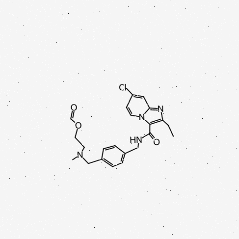 CCc1nc2cc(Cl)ccn2c1C(=O)NCc1ccc(CN(C)CCOC=O)cc1